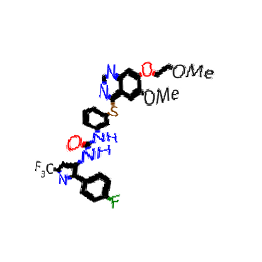 COCCOc1cc2ncnc(Sc3cccc(NC(=O)NC4=CC(C(F)(F)F)=NC4c4ccc(F)cc4)c3)c2cc1OC